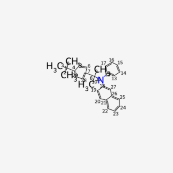 CC(C)(C)c1ccc(C(C)(C)N(c2ccccc2)c2ccc3ccccc3c2)cc1